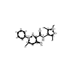 Cc1nn(C)c(C)c1NC(=O)c1nn(-c2ccccc2)c(C)cc1=O